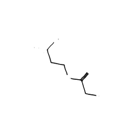 CC(=O)CC(=O)OCC[C@H](C)O